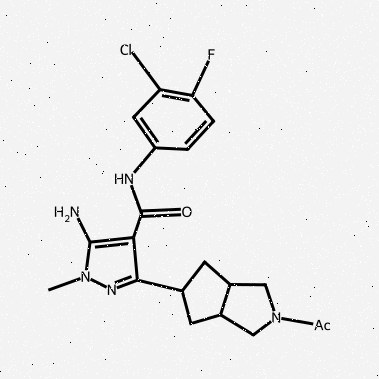 CC(=O)N1CC2CC(c3nn(C)c(N)c3C(=O)Nc3ccc(F)c(Cl)c3)CC2C1